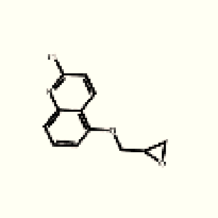 Clc1ccc2c(OCC3CO3)cccc2n1